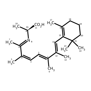 CC(=CC=C(C)C(C)=N[C@@H](C)C(=O)O)C(C)=CC1=C(C)CCCC1(C)C